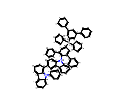 c1ccc(-c2cc(-c3ccccc3)cc([Si](c3ccccc3)(c3ccccc3)c3cc(-c4ccccc4)c(-n4c5ccccc5c5cc(-c6cccc7c8ccccc8n(-c8ccccc8)c67)ccc54)c(-c4ccccc4)c3)c2)cc1